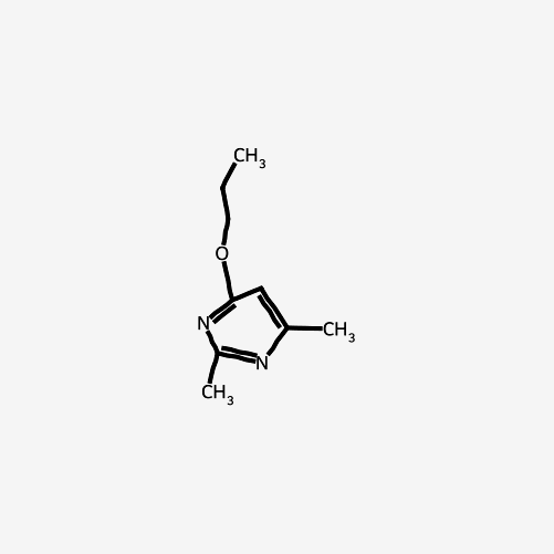 CCCOc1cc(C)nc(C)n1